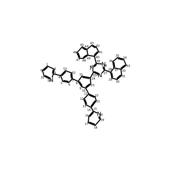 c1ccc(-c2ccc(-c3cc(-c4ccc(-c5ccccn5)cc4)cc(-c4nc(-c5cccc6ccccc56)nc(-c5cccc6ccccc56)n4)c3)cc2)nc1